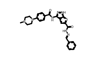 CN1CCN(c2ccc(C(=O)Nc3n[nH]c4sc(C(=O)NN=Cc5ccccc5)cc34)cc2)CC1